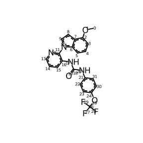 COc1cccc2c1ccn2-c1ncccc1NC(=O)Nc1ccc(OC(F)(F)F)cc1